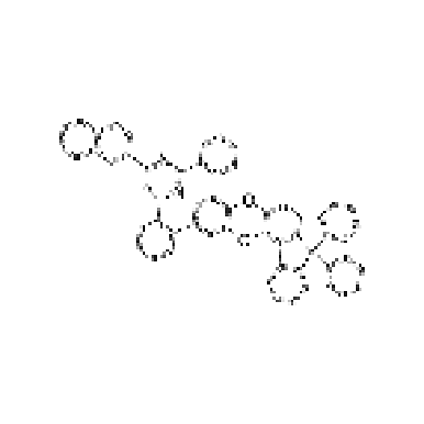 c1ccc(-c2nc(-c3ccc4ccccc4c3)cc(-c3ccccc3-c3ccc4c(c3)Oc3c(ccc5c3-c3ccccc3C5(c3ccccc3)c3ccccc3)O4)n2)cc1